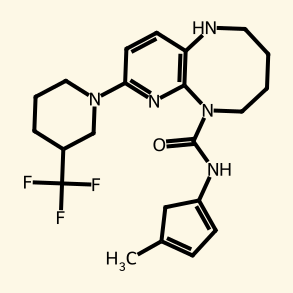 CC1=CC=C(NC(=O)N2CCCCNc3ccc(N4CCCC(C(F)(F)F)C4)nc32)C1